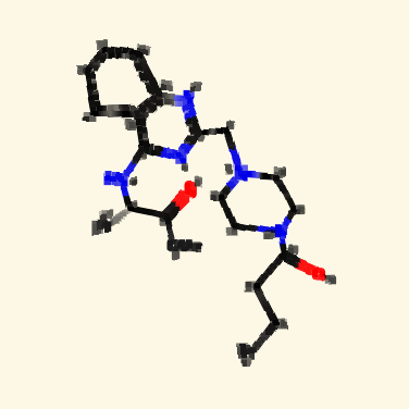 COC(=O)[C@@H](Nc1nc(CN2CCN(C(=O)CCC(C)C)CC2)nc2ccccc12)C(C)C